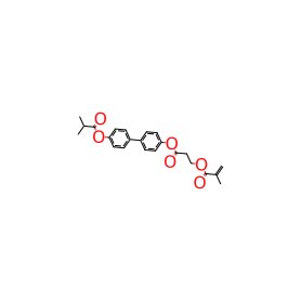 C=C(C)C(=O)OCCC(=O)Oc1ccc(-c2ccc(OC(=O)C(C)C)cc2)cc1